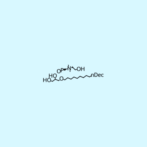 CCCCCCCCCCCCCCCCCCCOCC(O)CO.C[N+](C)(C#P=O)CCO